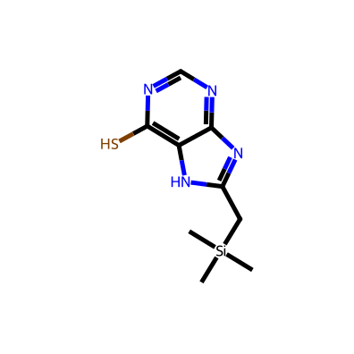 C[Si](C)(C)Cc1nc2ncnc(S)c2[nH]1